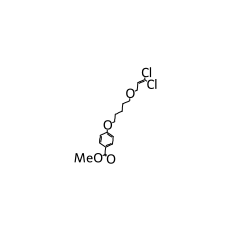 COC(=O)c1ccc(OCCCCCOCC=C(Cl)Cl)cc1